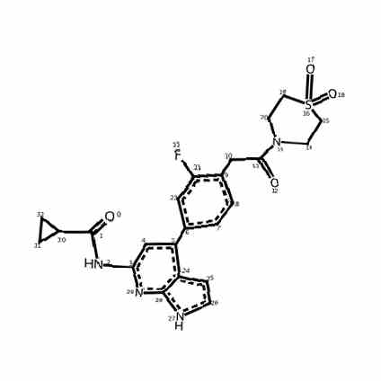 O=C(Nc1cc(-c2ccc(CC(=O)N3CCS(=O)(=O)CC3)c(F)c2)c2cc[nH]c2n1)C1CC1